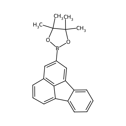 CC1(C)OB(c2cc3c4c(cccc4c2)-c2ccccc2-3)OC1(C)C